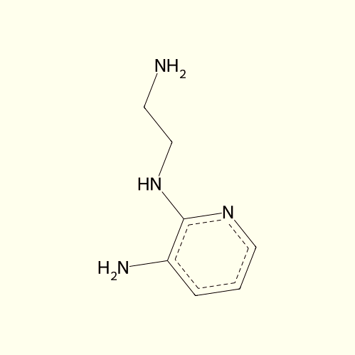 NCCNc1ncccc1N